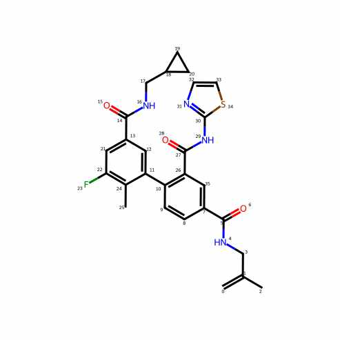 C=C(C)CNC(=O)c1ccc(-c2cc(C(=O)NCC3CC3)cc(F)c2C)c(C(=O)Nc2nccs2)c1